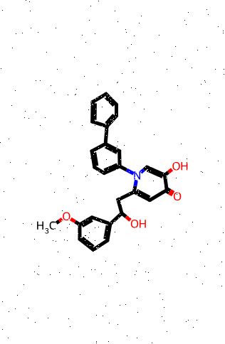 COc1cccc(C(O)Cc2cc(=O)c(O)cn2-c2cccc(-c3ccccc3)c2)c1